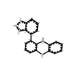 c1ccc2c(c1)Nc1c(cccc1-c1cccc3snnc13)S2